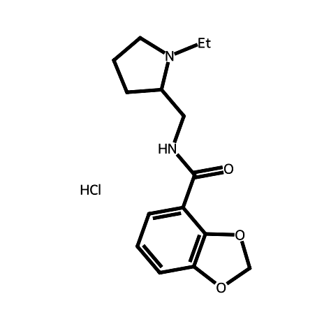 CCN1CCCC1CNC(=O)c1cccc2c1OCO2.Cl